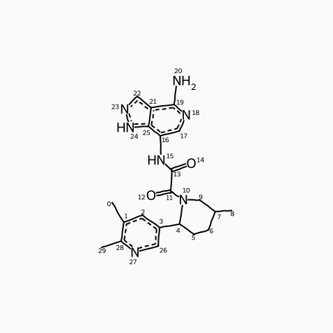 Cc1cc(C2CCC(C)CN2C(=O)C(=O)Nc2cnc(N)c3cn[nH]c23)cnc1C